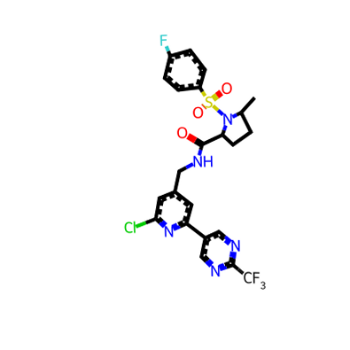 CC1CCC(C(=O)NCc2cc(Cl)nc(-c3cnc(C(F)(F)F)nc3)c2)N1S(=O)(=O)c1ccc(F)cc1